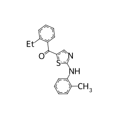 CCc1ccccc1C(=O)c1cnc(Nc2ccccc2C)s1